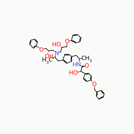 C[C@H](Cc1ccc(C[C@@H](C)N(C[C@H](O)COc2ccccc2)C[C@H](O)COc2ccccc2)cc1)NC(=O)[C@H](O)c1ccc(OCc2ccccc2)cc1